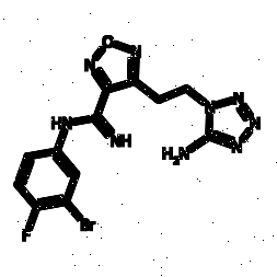 N=C(Nc1ccc(F)c(Br)c1)c1nonc1CCn1nnnc1N